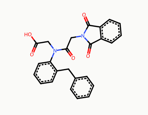 O=C(O)CN(C(=O)CN1C(=O)c2ccccc2C1=O)c1ccccc1Cc1ccccc1